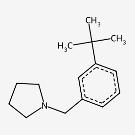 CC(C)(C)c1cccc(CN2CCCC2)c1